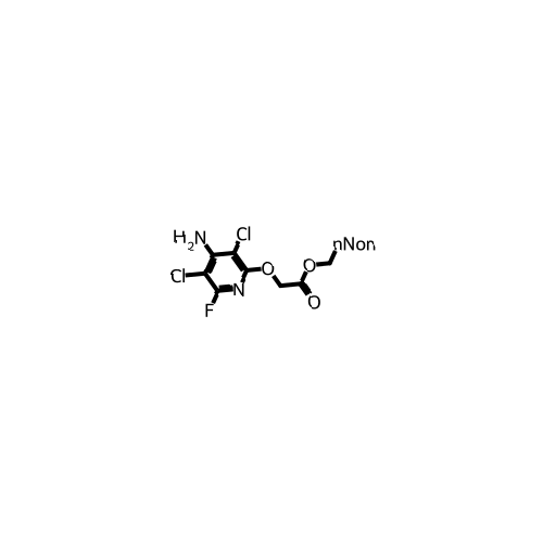 CCCCCCCCCCOC(=O)COc1nc(F)c(Cl)c(N)c1Cl